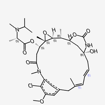 COc1cc2cc(c1Cl)N(C)C(=O)C[C@H](OC(=O)[C@H](C)N(C)C(C)C)[C@]1(C)O[C@H]1[C@H](C)[C@@H]1C[C@](O)(C/C=C/C=C(\C)C2)NC(=O)O1